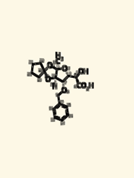 C[C@]12O[C@H]([C@@H](O)C(=O)O)[C@H](OCc3ccccc3)[C@H]1OC1(CCCC1)O2